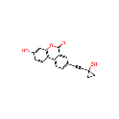 O=c1oc2cc(O)ccc2c2ccc(C#CC3(O)CC3)cc12